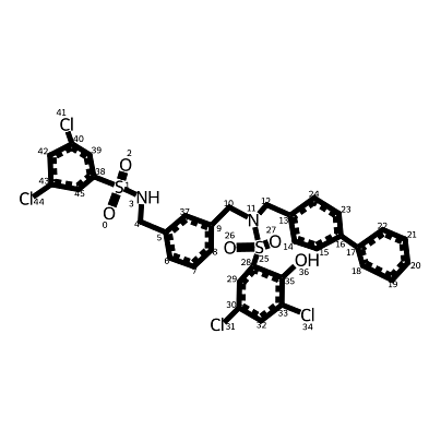 O=S(=O)(NCc1cccc(CN(Cc2ccc(-c3ccccc3)cc2)S(=O)(=O)c2cc(Cl)cc(Cl)c2O)c1)c1cc(Cl)cc(Cl)c1